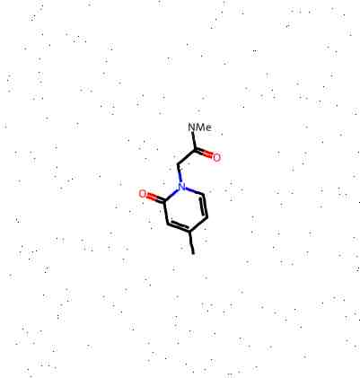 CNC(=O)Cn1ccc(C)cc1=O